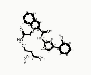 CCCC[O-].O.O=C(O)Cn1c(C(=O)Nc2nc(-c3ccccc3Cl)cs2)cc2ccccc21.[K+]